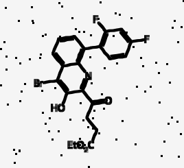 CCOC(=O)CCC(=O)c1nc2c(-c3ccc(F)cc3F)cccc2c(Br)c1O